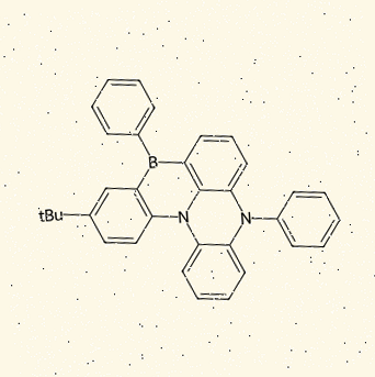 CC(C)(C)c1ccc2c(c1)B(c1ccccc1)c1cccc3c1N2c1ccccc1N3c1ccccc1